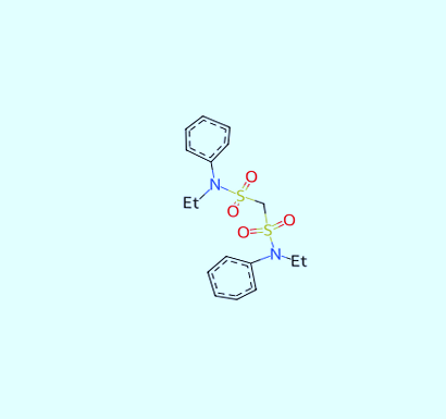 CCN(c1ccccc1)S(=O)(=O)CS(=O)(=O)N(CC)c1ccccc1